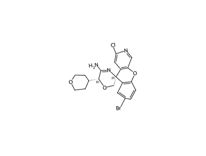 NC1=N[C@]2(CO[C@@H]1C1CCOCC1)c1cc(Br)ccc1Oc1cnc(Cl)cc12